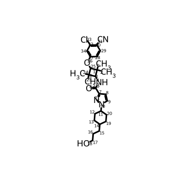 CC1(C)C(NC(=O)c2ccn(C3CCC(CCCO)CC3)n2)C(C)(C)C1Oc1ccc(C#N)c(Cl)c1